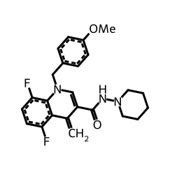 C=C1C(C(=O)NN2CCCCC2)=CN(Cc2ccc(OC)cc2)c2c(F)ccc(F)c21